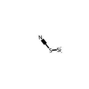 N#CS[Si]